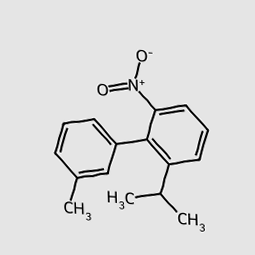 Cc1cccc(-c2c(C(C)C)cccc2[N+](=O)[O-])c1